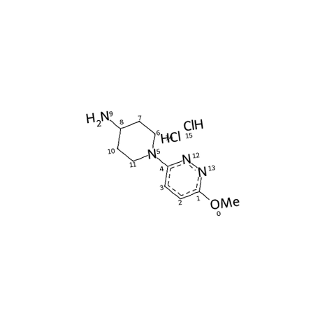 COc1ccc(N2CCC(N)CC2)nn1.Cl.Cl